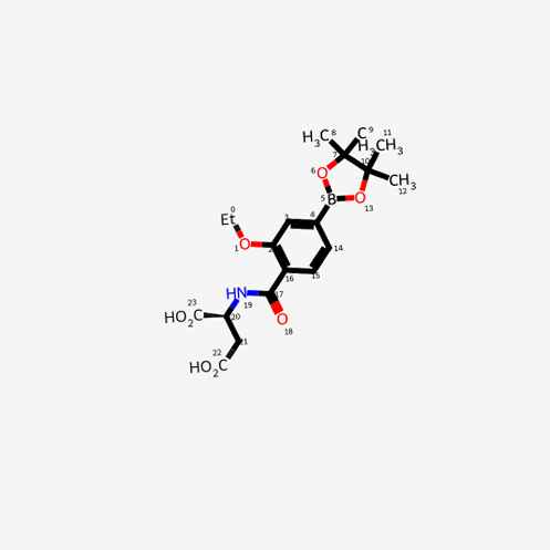 CCOc1cc(B2OC(C)(C)C(C)(C)O2)ccc1C(=O)N[C@@H](CC(=O)O)C(=O)O